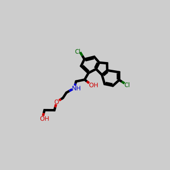 OCCOCCNCC(O)c1cc(Cl)cc2c1-c1ccc(Cl)cc1C2